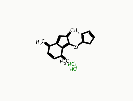 C=C1C=c2c(=C)ccc(=C)c2=[C]1[Zr][C]1=CC=CC1.Cl.Cl